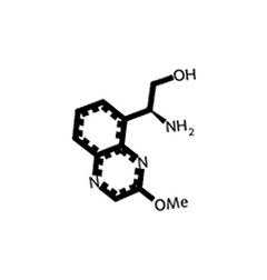 COc1cnc2cccc([C@H](N)CO)c2n1